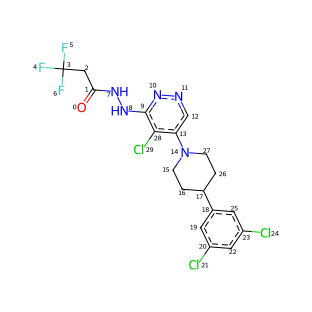 O=C(CC(F)(F)F)NNc1nncc(N2CCC(c3cc(Cl)cc(Cl)c3)CC2)c1Cl